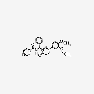 CCOc1cc(C2=NN(C(NC(=O)N3C=CN=CC3)c3ccccc3)C(=O)CC2)ccc1OC